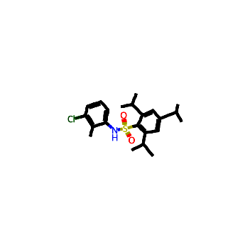 Cc1c(Cl)cccc1NS(=O)(=O)c1c(C(C)C)cc(C(C)C)cc1C(C)C